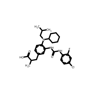 CC(C)CN(c1ccc(CC(C)C(=O)O)cc1NC(=O)Nc1ccc(Cl)cc1F)C1CCCCC1